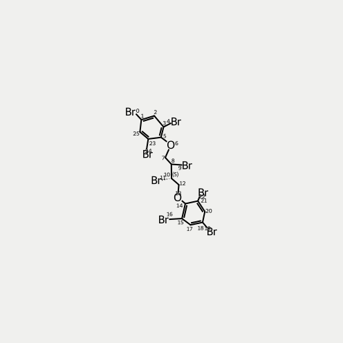 Brc1cc(Br)c(OCC(Br)[C@@H](Br)COc2c(Br)cc(Br)cc2Br)c(Br)c1